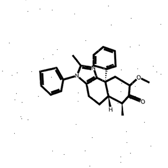 COC1C[C@]2(c3ccccc3)c3nc(C)n(-c4ccccc4)c3CC[C@H]2[C@H](C)C1=O